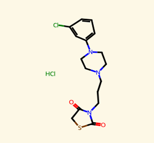 Cl.O=C1CSC(=O)N1CCCN1CCN(c2cccc(Cl)c2)CC1